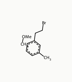 COC.Cc1cccc(CCBr)c1